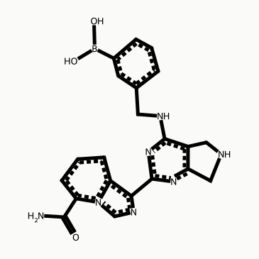 NC(=O)c1cccc2c(-c3nc4c(c(NCc5cccc(B(O)O)c5)n3)CNC4)ncn12